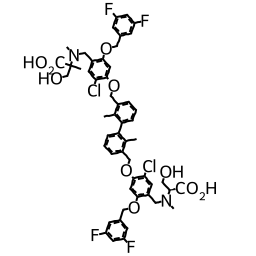 Cc1c(COc2cc(OCc3cc(F)cc(F)c3)c(CN(C)[C@@H](CO)C(=O)O)cc2Cl)cccc1-c1cccc(COc2cc(OCc3cc(F)cc(F)c3)c(CN(C)C(C)(CO)C(=O)O)cc2Cl)c1C